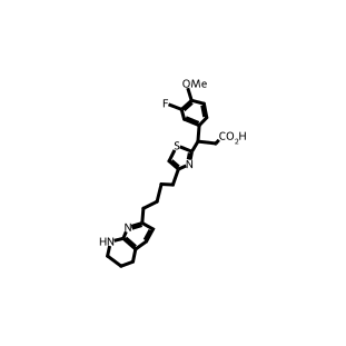 COc1ccc(C(CC(=O)O)c2nc(CCCCc3ccc4c(n3)NCCC4)cs2)cc1F